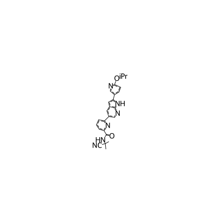 CC(C)Oc1ccc(-c2cc3cc(-c4cccc(C(=O)NC(C)(C)C#N)n4)cnc3[nH]2)cn1